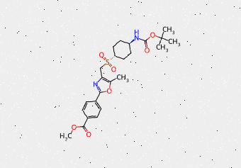 COC(=O)c1ccc(-c2nc(CS(=O)(=O)[C@H]3CC[C@H](NC(=O)OC(C)(C)C)CC3)c(C)o2)cc1